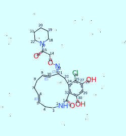 O=C1NCC/C=C/CC/C=C/C(=N\OCC(=O)N2CCCCC2)Cc2c(Cl)c(O)cc(O)c21